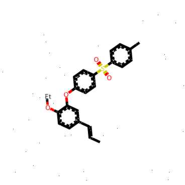 C/C=C/c1ccc(OCC)c(Oc2ccc(S(=O)(=O)c3ccc(C)cc3)cc2)c1